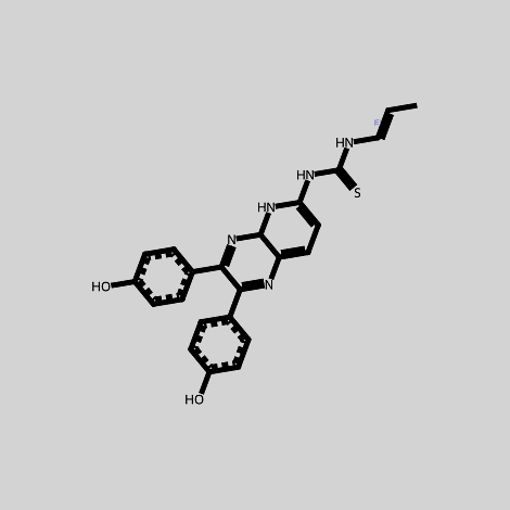 C/C=C/NC(=S)NC1=CC=C2N=C(c3ccc(O)cc3)C(c3ccc(O)cc3)=NC2N1